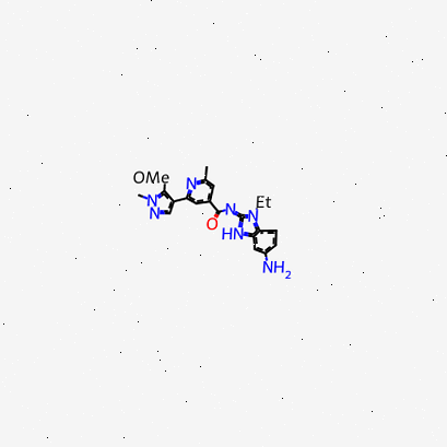 CCn1/c(=N/C(=O)c2cc(C)nc(-c3cnn(C)c3OC)c2)[nH]c2cc(N)ccc21